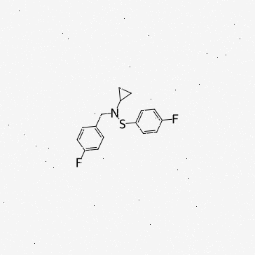 Fc1ccc(CN(Sc2ccc(F)cc2)C2CC2)cc1